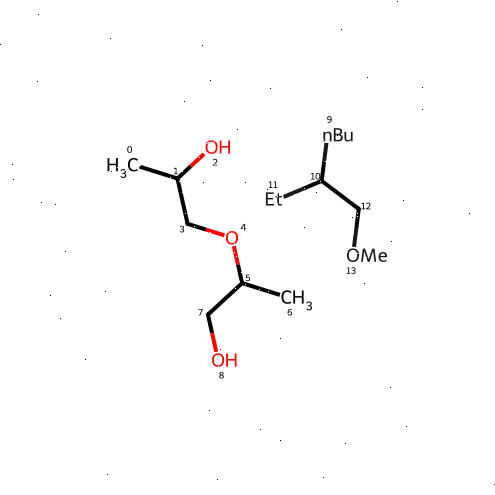 CC(O)COC(C)CO.CCCCC(CC)COC